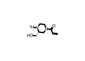 [2H]N1CCN(C(=O)C=C)C[C@@H]1CO